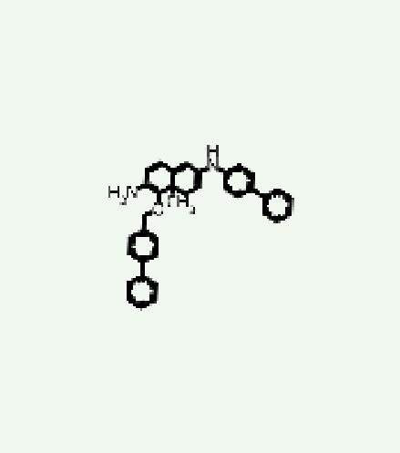 CC12CC=C(Nc3ccc(-c4ccccc4)cc3)C=C1C=CC(N)=C2OCc1ccc(-c2ccccc2)cc1